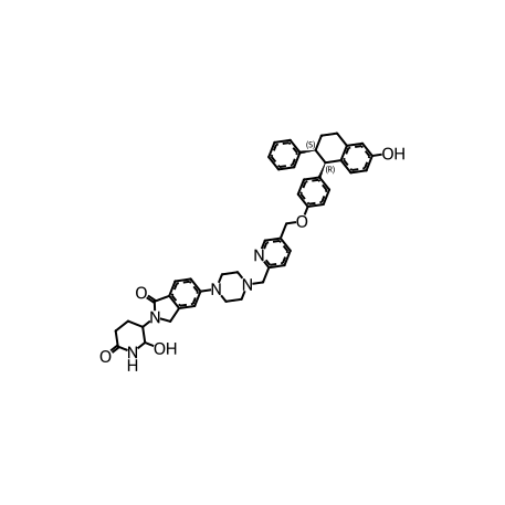 O=C1CCC(N2Cc3cc(N4CCN(Cc5ccc(COc6ccc([C@@H]7c8ccc(O)cc8CC[C@@H]7c7ccccc7)cc6)cn5)CC4)ccc3C2=O)C(O)N1